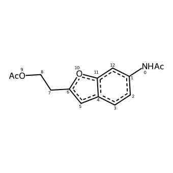 CC(=O)Nc1ccc2cc(CCOC(C)=O)oc2c1